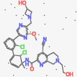 COc1nc(-c2cccc(C3=CC=CC(C)(NC(=O)c4cc(C#N)c5c(n4)CN(CCO)CC5)C3Cl)c2Cl)cnc1CN1CC(O)C1